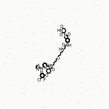 O=C1CCC(N2Cc3cc(NC(=O)CNCCCCOCCCCNC(=O)[C@]4(Cc5cccc(Nc6nccs6)n5)CC[C@@H](Oc5cccc(Cl)c5F)CC4)ccc3C2=O)C(=O)N1